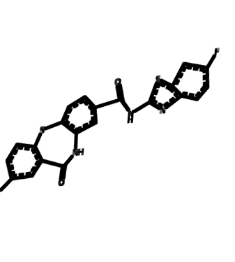 O=C(Nc1nc2ccc(F)cc2s1)c1ccc2c(c1)NC(=O)c1cc(F)ccc1S2